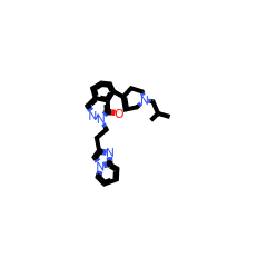 C[C](C)CN1CC=C(c2cccc3cnn(CCc4cn5ccccc5n4)c(=O)c23)CC1